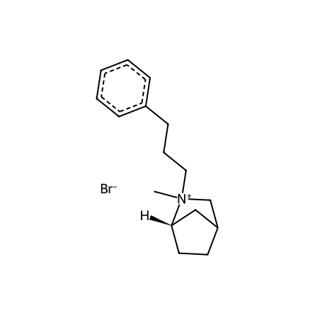 C[N+]1(CCCc2ccccc2)CC2CC[C@H]1C2.[Br-]